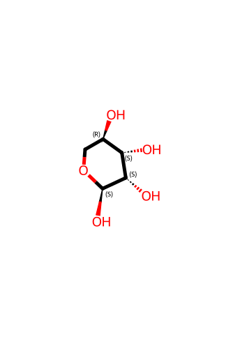 O[C@@H]1[C@H](O)[C@@H](O)OC[C@H]1O